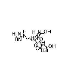 N=C(N)NCCC[C@H](NC(=O)[C@@H](N)CO)C(=O)N[C@@H](CC(=O)O)C(=O)O